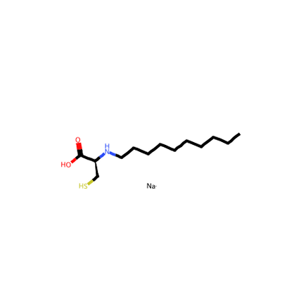 CCCCCCCCCCN[C@@H](CS)C(=O)O.[Na]